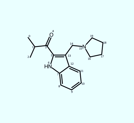 CC(C)C(=O)c1[nH]c2ccccc2c1CN1CCCC1